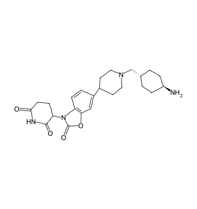 N[C@H]1CC[C@H](CN2CCC(c3ccc4c(c3)oc(=O)n4C3CCC(=O)NC3=O)CC2)CC1